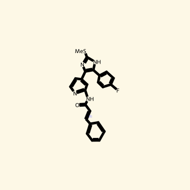 CSc1nc(-c2ccnc(NC(=O)/C=C/c3ccccc3)c2)c(-c2ccc(F)cc2)[nH]1